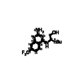 CCCC[C@H](CO)Nc1nc(N)nc2cc(C(F)(F)F)ccc12